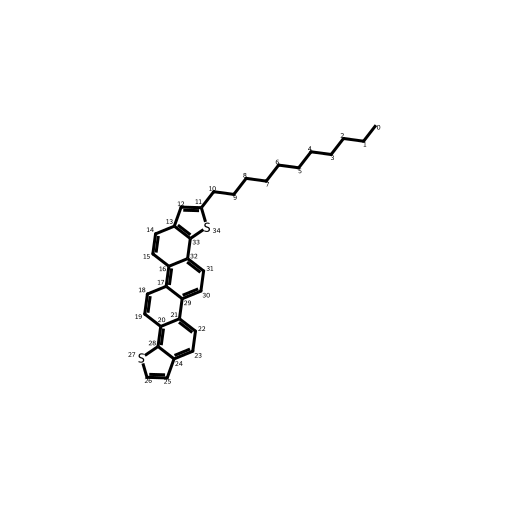 CCCCCCCCCCCc1cc2ccc3c4ccc5c(ccc6ccsc65)c4ccc3c2s1